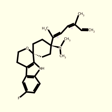 C=C/C(C)=C\C=C(/C)[C@]1(N(C)C)CC[C@@]2(CC1)OCCc1c3cc(F)ccc3[nH]c12